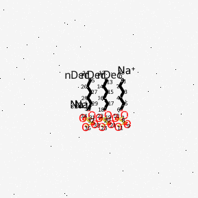 CCCCCCCCCCCCCCCCOS(=O)(=O)[O-].CCCCCCCCCCCCCCCCOS(=O)(=O)[O-].CCCCCCCCCCCCCCCCOS(=O)(=O)[O-].[Na+].[Na+].[Na+]